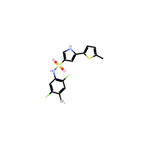 Cc1ccc(-c2cc(S(=O)(=O)Nc3cc(F)c(C(F)(F)F)cc3F)c[nH]2)s1